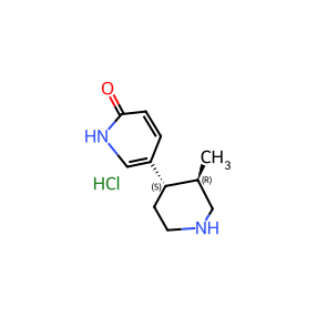 C[C@H]1CNCC[C@@H]1c1ccc(=O)[nH]c1.Cl